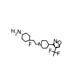 CC(F)(F)c1conc1C1CCN(CC[C@]2(F)CC[C@@H](N)CC2)CC1